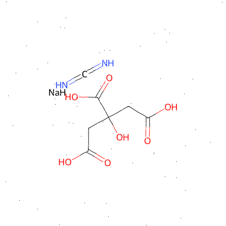 N=C=N.O=C(O)CC(O)(CC(=O)O)C(=O)O.[NaH]